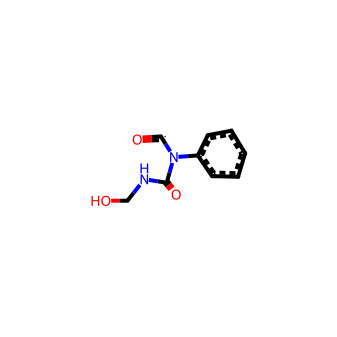 O=[C]N(C(=O)NCO)c1ccccc1